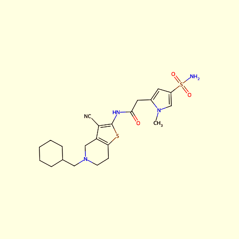 Cn1cc(S(N)(=O)=O)cc1CC(=O)Nc1sc2c(c1C#N)CN(CC1CCCCC1)CC2